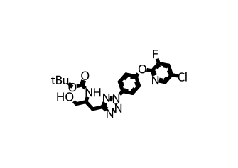 CC(C)(C)OC(=O)NC(CO)Cc1nnn(-c2ccc(Oc3ncc(Cl)cc3F)cc2)n1